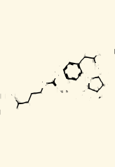 CC(=O)Cl.N=C(N)NCCCC(N)C(=O)O.NC(Cc1ccccc1)C(=O)O.O=C(O)[C@@H]1CCCN1